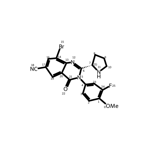 COc1ccc(-n2c([C@@H]3CCCN3)nc3c(Br)cc(C#N)cc3c2=O)cc1F